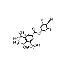 CC(O)c1cc(C(=O)Oc2cc(F)c(C#N)c(F)c2)cc(C(C)O)c1C(C)O